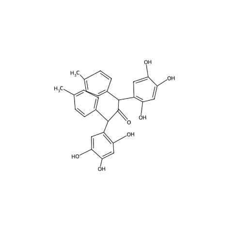 Cc1ccc(C(C(=O)C(c2ccc(C)cc2)c2cc(O)c(O)cc2O)c2cc(O)c(O)cc2O)cc1